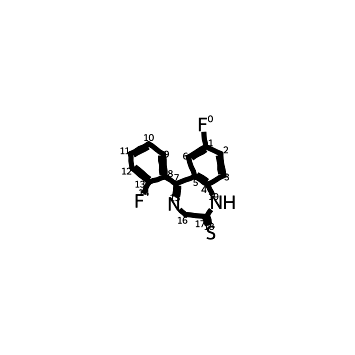 Fc1ccc2c(c1)C(c1ccccc1F)=NCC(=S)N2